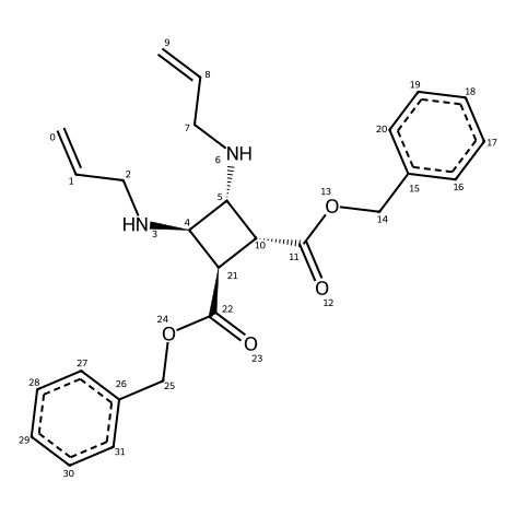 C=CCN[C@H]1[C@H](NCC=C)[C@H](C(=O)OCc2ccccc2)[C@H]1C(=O)OCc1ccccc1